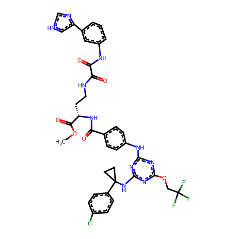 COC(=O)[C@H](CCNC(=O)C(=O)Nc1cccc(-c2c[nH]cn2)c1)NC(=O)c1ccc(Nc2nc(NC3(c4ccc(Cl)cc4)CC3)nc(OCC(F)(F)F)n2)cc1